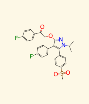 CC(C)n1nc(OCC(=O)c2ccc(F)cc2)c(-c2ccc(F)cc2)c1-c1ccc(S(C)(=O)=O)cc1